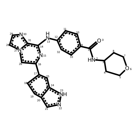 O=C(NC1CCOCC1)c1ccc(Nc2nc(-c3ccc4cn[nH]c4c3)cn3ccnc23)cc1